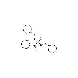 O=C(C1CCCCC1)P(=O)(OCC1CCCCC1)OCC1CCCCC1